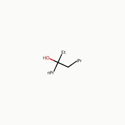 CCCC(O)(CC)CC(C)C